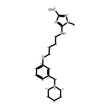 Cn1nc(C=O)nc1NCCCCOc1cccc(CN2CCCCC2)c1